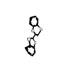 [C]1Oc2ccccc2OC1C1Oc2ccccc2O1